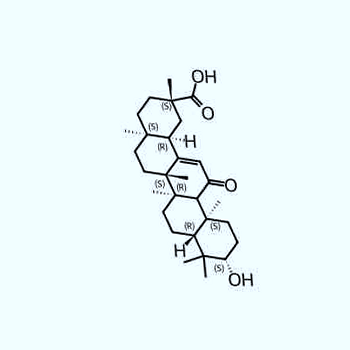 CC1(C)[C@@H](O)CC[C@]2(C)C3C(=O)C=C4[C@@H]5C[C@@](C)(C(=O)O)CC[C@]5(C)CC[C@@]4(C)[C@]3(C)CC[C@@H]12